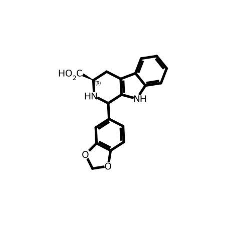 O=C(O)[C@H]1Cc2c([nH]c3ccccc23)C(c2ccc3c(c2)OCO3)N1